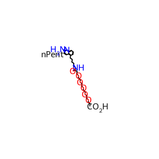 CCCCCc1cc2c(CCCCCNC(=O)CCOCCOCCOCCOCCOCCC(=O)O)cccc2nc1N